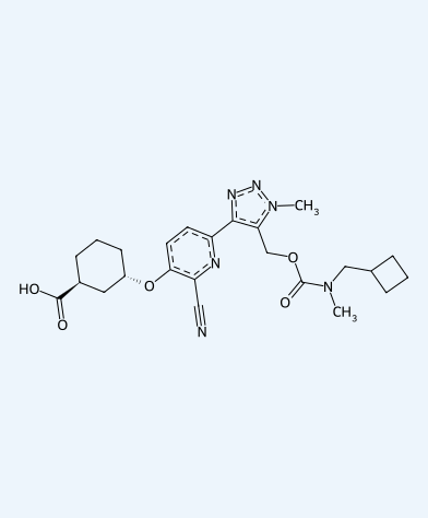 CN(CC1CCC1)C(=O)OCc1c(-c2ccc(O[C@H]3CCC[C@H](C(=O)O)C3)c(C#N)n2)nnn1C